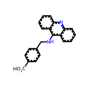 O=C(O)c1ccc(CNc2c3ccccc3nc3ccccc23)cc1